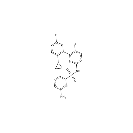 Nc1cccc(S(=O)(=O)Nc2ccc(Cl)c(-c3cc(F)ccc3C3CC3)n2)n1